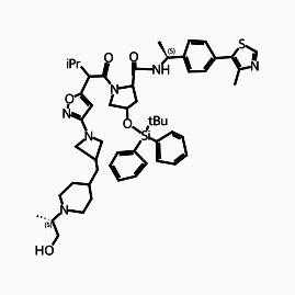 Cc1ncsc1-c1ccc([C@H](C)NC(=O)C2CC(O[Si](c3ccccc3)(c3ccccc3)C(C)(C)C)CN2C(=O)C(c2cc(N3CC(CC4CCN([C@@H](C)CO)CC4)C3)no2)C(C)C)cc1